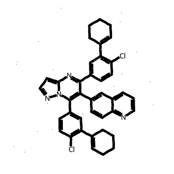 Clc1ccc(-c2nc3ccnn3c(-c3ccc(Cl)c(C4=CCCCC4)c3)c2-c2ccc3ncccc3c2)cc1C1=CCCCC1